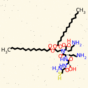 CCCCCCCCCCCCCCCC(=O)OC(CCN(C(=O)[C@H](CCCCN)NC(=O)[C@H](CO)NC(=O)[C@@H](N)CS)[C@@H](CCCCN)C(=O)O)OC(=O)CCCCCCCCCCCCCCC